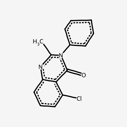 Cc1nc2cccc(Cl)c2c(=O)n1-c1ccccc1